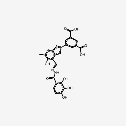 Cc1nc2nn(-c3cc(C(=O)O)cc(C(=O)O)c3)cc2c(C=NNC(=O)c2ccc(O)c(O)c2O)c1O